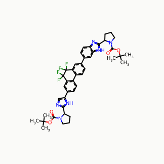 CC(C)(C)OC(=O)N1CCCC1c1ncc(-c2ccc3c(c2)C(F)(F)C(F)(F)c2cc(-c4ccc5nc(C6CCCN6C(=O)OC(C)(C)C)[nH]c5c4)ccc2-3)[nH]1